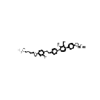 C=CCCCOc1ccc(CCc2ccc(-c3ccc(-c4ccc(OCCCC)cc4)c(F)c3F)cc2)c(F)c1